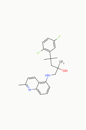 Cc1ccc2c(NCC(O)(CC(C)(C)c3cc(F)ccc3F)C(F)(F)F)cccc2n1